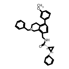 COc1cccc(-c2ccc(CNC(=O)[C@@H]3C[C@@H]3c3ccccc3)c3c2CCN(Cc2ccccc2)C3)c1